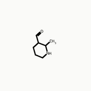 CC1NCCCC1C=O